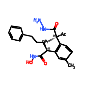 CCC[C@@](C(C)=O)(C(=O)NN)c1ccc(C)cc1[C@H](CCCc1ccccc1)C(=O)NO